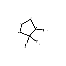 FC1[CH]CCC1(F)F